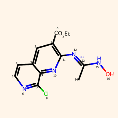 CCOC(=O)c1cc2ccnc(Cl)c2nc1/N=C(\C)NO